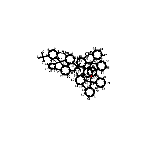 CC(C)(C)c1ccc2c(c1)C1(c3cc(C(C)(C)C)ccc3S2)c2ccccc2-c2ccc(N(c3ccc4c(c3)C3(c5ccccc5O4)c4ccccc4-c4ccccc43)c3ccc4c(c3)C(c3ccccc3)(c3ccccc3)c3ccccc3-4)cc21